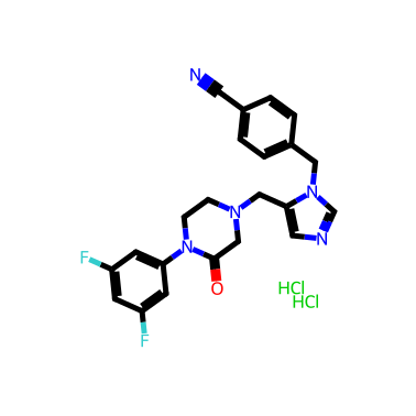 Cl.Cl.N#Cc1ccc(Cn2cncc2CN2CCN(c3cc(F)cc(F)c3)C(=O)C2)cc1